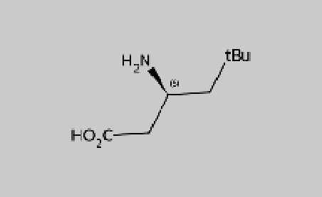 CC(C)(C)C[C@H](N)CC(=O)O